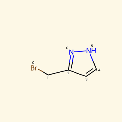 BrCc1c[c][nH]n1